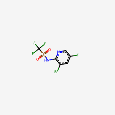 O=S(=O)(Nc1ncc(F)cc1Br)C(F)(F)F